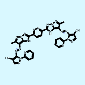 [C-]#[N+]c1cnn(-c2ccccn2)c1/N=N/c1c(C)nn2nc(-c3ccc(-c4nn5nc(C)c(/N=N/c6c(C#N)cnn6-c6ccccn6)c5[nH]4)nn3)[nH]c12